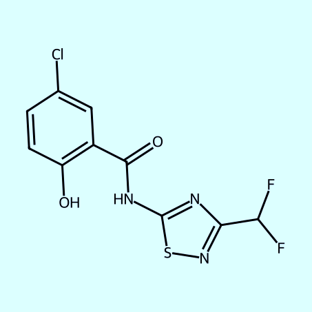 O=C(Nc1nc(C(F)F)ns1)c1cc(Cl)ccc1O